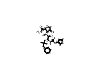 CN(C(=O)[C@H](CC(C)(C)Cc1ccccc1)NC(=O)Oc1ccsc1)C1C(=O)COC1C(N)=O